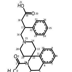 CC(=O)N1CCc2ccccc2C12CCN(CC(CC(=O)O)c1ccccc1)CC2